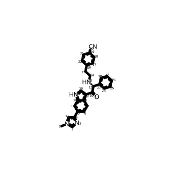 Cn1cnc(-c2ccc3c(C(=O)[C@@H](NCCc4ccc(C#N)cc4)c4ccccc4)c[nH]c3c2)c1